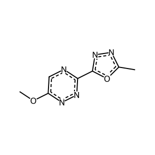 COc1cnc(-c2nnc(C)o2)nn1